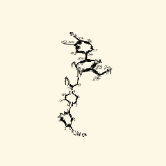 COc1ccnc(N2CCN(C(=O)Cn3nc(-c4ccc(F)c(C)c4)nc3CC(C)C)CC2)c1